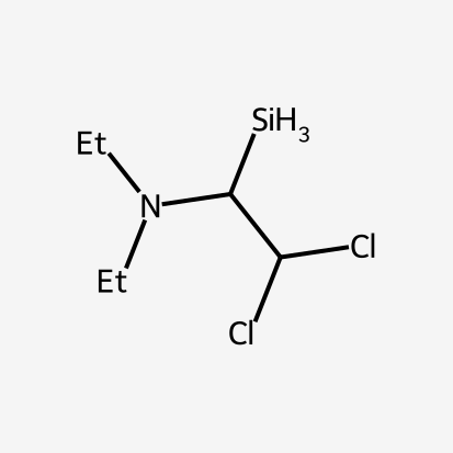 CCN(CC)C([SiH3])C(Cl)Cl